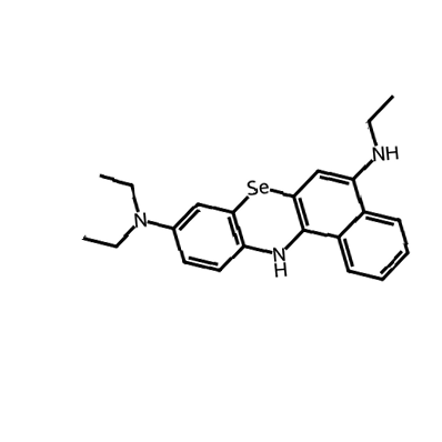 CCNc1cc2c(c3ccccc13)Nc1ccc(N(CC)CC)cc1[Se]2